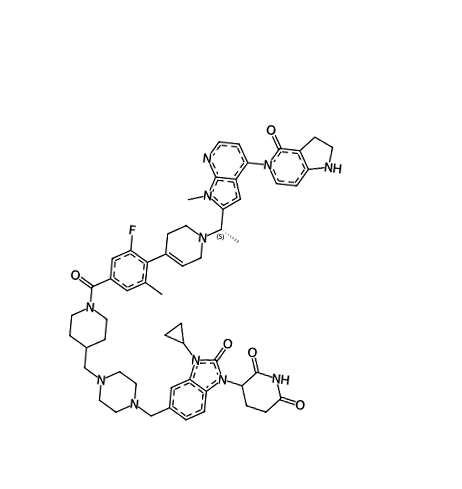 Cc1cc(C(=O)N2CCC(CN3CCN(Cc4ccc5c(c4)n(C4CC4)c(=O)n5C4CCC(=O)NC4=O)CC3)CC2)cc(F)c1C1=CCN([C@@H](C)c2cc3c(-n4ccc5c(c4=O)CCN5)ccnc3n2C)CC1